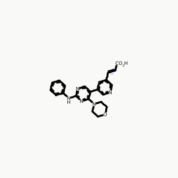 O=C(O)/C=C/c1cncc(-c2cnc(Nc3ccccc3)nc2N2CCOCC2)c1